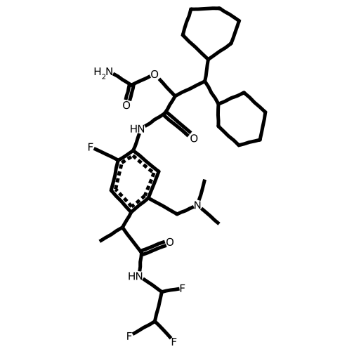 CC(C(=O)NC(F)C(F)F)c1cc(F)c(NC(=O)C(OC(N)=O)C(C2CCCCC2)C2CCCCC2)cc1CN(C)C